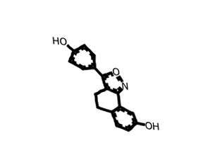 Oc1ccc(-c2onc3c2CCc2ccc(O)cc2-3)cc1